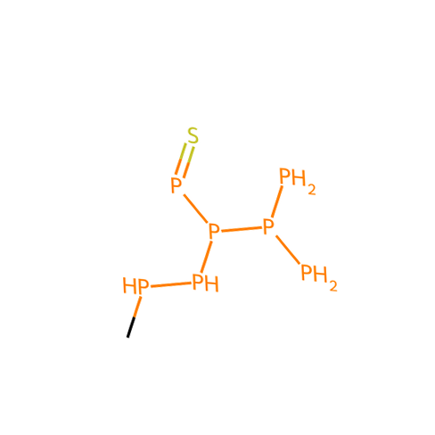 CPPP(P=S)P(P)P